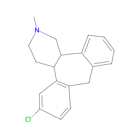 CN1CCC2c3cc(Cl)ccc3Cc3ccccc3C2C1